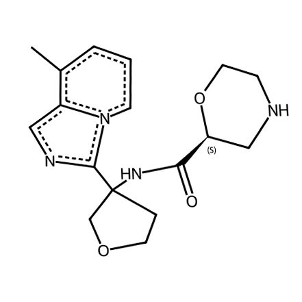 Cc1cccn2c(C3(NC(=O)[C@@H]4CNCCO4)CCOC3)ncc12